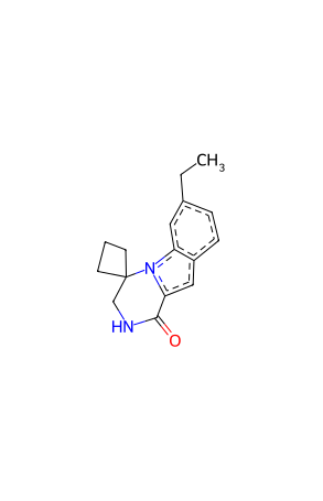 CCc1ccc2cc3n(c2c1)C1(CCC1)CNC3=O